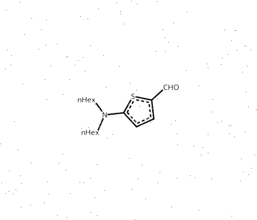 CCCCCCN(CCCCCC)c1ccc(C=O)s1